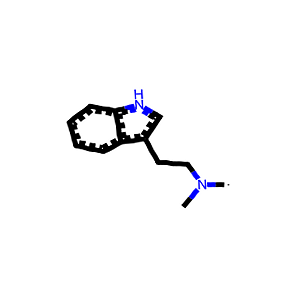 [CH2]N(C)CCc1c[nH]c2ccccc12